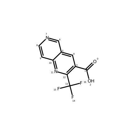 O=C(O)c1cc2cnccc2nc1C(F)(F)F